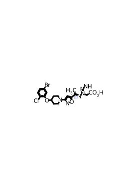 C/C(=N\N(CC(=O)O)N=N)c1cc(N2CCC(Oc3cc(Br)ccc3Cl)CC2)no1